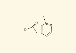 CC(=O)Cl.Cc1ccccc1